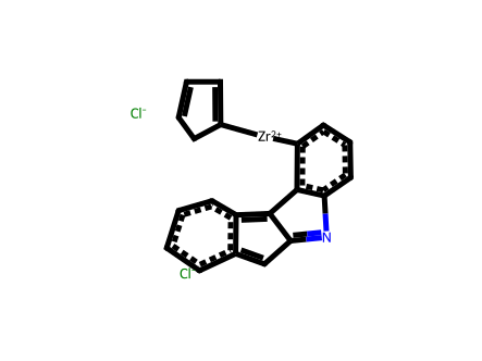 C1=CC[C]([Zr+2][c]2cccc3c2C2=c4ccccc4=CC2=N3)=C1.[Cl-].[Cl-]